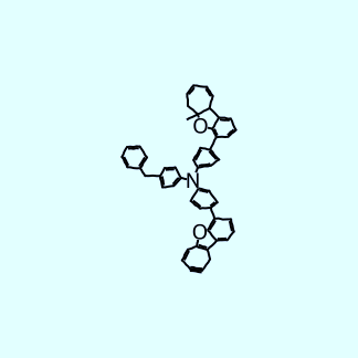 CC12CC=CC=CC1c1cccc(-c3ccc(N(c4ccc(Cc5ccccc5)cc4)c4ccc(-c5cccc6c7c(oc56)C=CC#CC7)cc4)cc3)c1O2